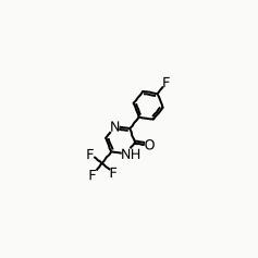 O=c1[nH]c(C(F)(F)F)cnc1-c1ccc(F)cc1